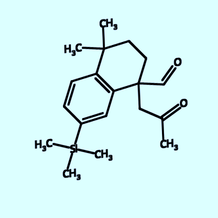 CC(=O)CC1(C=O)CCC(C)(C)c2ccc([Si](C)(C)C)cc21